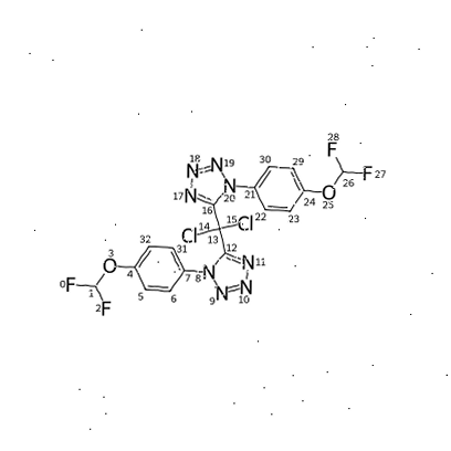 FC(F)Oc1ccc(-n2nnnc2C(Cl)(Cl)c2nnnn2-c2ccc(OC(F)F)cc2)cc1